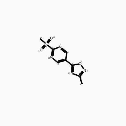 Cc1noc(-c2cnc(S(C)(=O)=O)nc2)n1